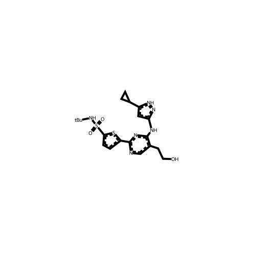 CC(C)(C)NS(=O)(=O)c1ccc(-c2ncc(CCO)c(Nc3cc(C4CC4)[nH]n3)n2)s1